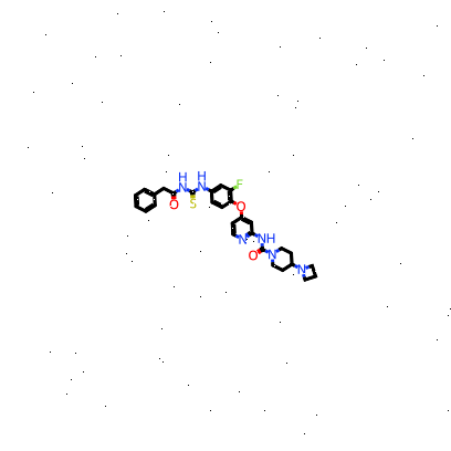 O=C(Cc1ccccc1)NC(=S)Nc1ccc(Oc2ccnc(NC(=O)N3CCC(N4CCC4)CC3)c2)c(F)c1